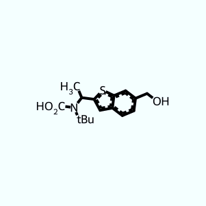 CC(c1cc2ccc(CO)cc2s1)N(C(=O)O)C(C)(C)C